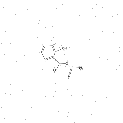 CC(OC(N)=O)c1ccccc1O